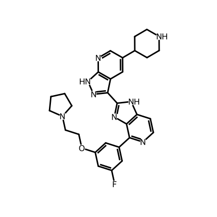 Fc1cc(OCCN2CCCC2)cc(-c2nccc3[nH]c(-c4n[nH]c5ncc(C6CCNCC6)cc45)nc23)c1